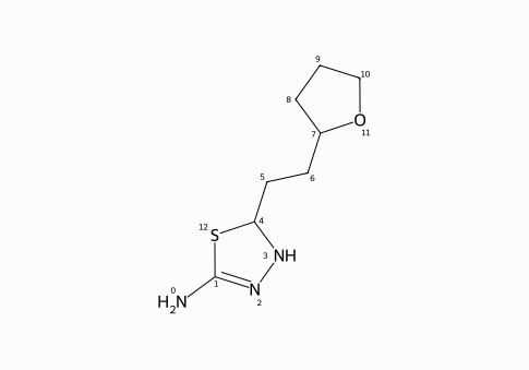 NC1=NNC(CCC2CCCO2)S1